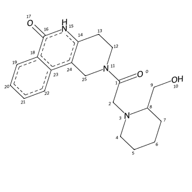 O=C(CN1CCCCC1CO)N1CCc2[nH]c(=O)c3ccccc3c2C1